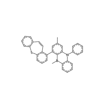 CB1c2ccccc2N(c2ccccc2)c2cc(C)cc(-c3cccc4c3C=Cc3ccccc3S4)c21